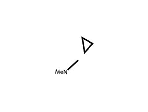 CNC.[CH]1CC1